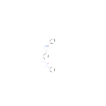 O=C(Nc1ccc(F)cc1)Nc1ccc(-c2nnc(-c3ccccc3)o2)cc1